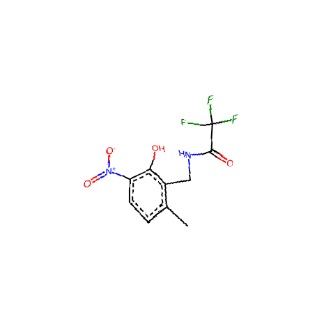 Cc1ccc([N+](=O)[O-])c(O)c1CNC(=O)C(F)(F)F